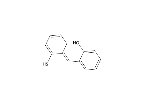 Oc1ccccc1C=C1CC=CC=C1S